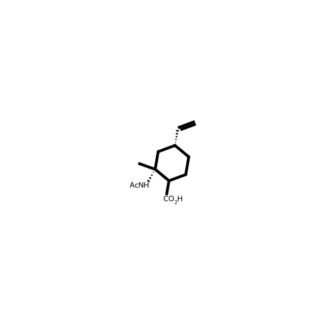 C=C[C@@H]1CCC(C(=O)O)[C@](C)(NC(C)=O)C1